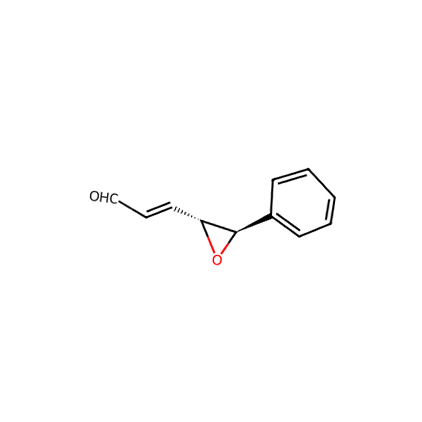 O=C/C=C/[C@H]1O[C@@H]1c1ccccc1